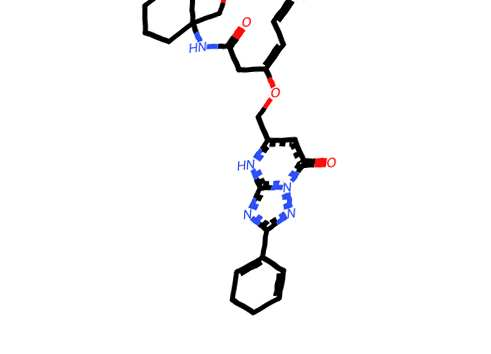 O=C(C/C(=C\C=C/CCl)OCc1cc(=O)n2nc(C3=CCCC=C3)nc2[nH]1)NC1(CO)CCCCC1